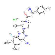 COc1cc2c(N)nc(N3CCN(C(=O)C[C@@H](N)c4ccc(C#N)cc4)C[C@@H]3C)nc2c(F)c1OC.Cl